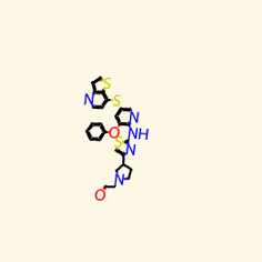 O=CCN1CCC(c2csc(Nc3ncc(Sc4ccnc5ccsc45)cc3Oc3ccccc3)n2)C1